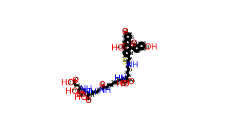 O=C(O)CC[C@H](NC(=O)N[C@@H](CCCCNC(=O)CCCCCCC(=O)NC(CCCCNC(=S)Cc1ccc(C(=O)O)c(-c2c3ccc4cc(O)ccc4c3oc3c2ccc2cc(=O)ccc23)c1)C(=O)O)C(=O)O)C(=O)O